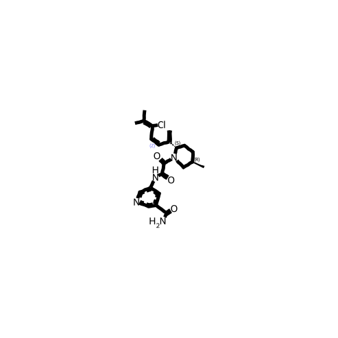 C=C(/C=C\C(Cl)=C(C)C)[C@@H]1CC[C@@H](C)CN1C(=O)C(=O)Nc1cncc(C(N)=O)c1